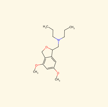 CCCN(CCC)CC1OCc2c(OC)cc(OC)cc21